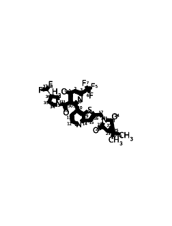 Cc1cc(C(F)(F)F)nc(-c2ccnc3cc(CN4C(=O)C5C(C4=O)C5(C)C)sc23)c1C(=O)N1CC[C@H](C(F)F)C1